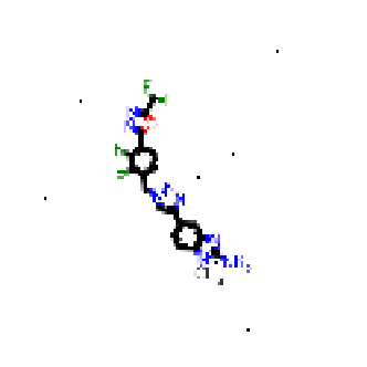 Cn1c(N)nc2cc(-c3cn(Cc4ccc(-c5nnc(C(F)F)o5)c(F)c4F)nn3)ccc21